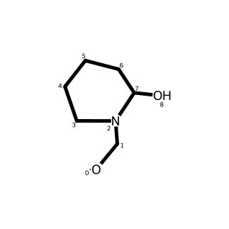 [O]CN1CCCCC1O